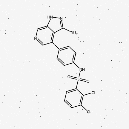 Nc1n[nH]c2cncc(-c3ccc(NS(=O)(=O)c4cccc(Cl)c4Cl)cc3)c12